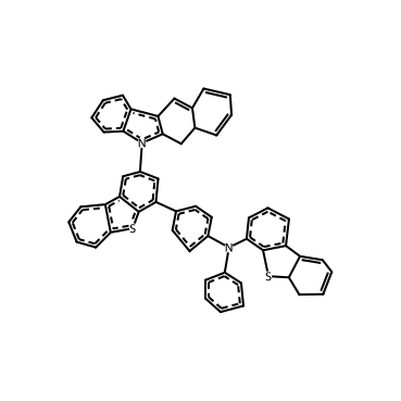 C1=CCC2Sc3c(cccc3N(c3ccccc3)c3ccc(-c4cc(-n5c6c(c7ccccc75)C=C5C=CC=CC5C6)cc5c4sc4ccccc45)cc3)C2=C1